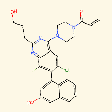 C=CC(=O)N1CCN(c2nc(CCCO)nc3c(F)c(-c4cc(O)cc5ccccc45)c(Cl)cc23)CC1